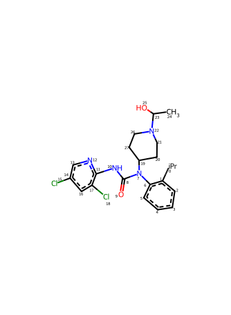 CC(C)c1ccccc1N(C(=O)Nc1ncc(Cl)cc1Cl)C1CCN(C(C)O)CC1